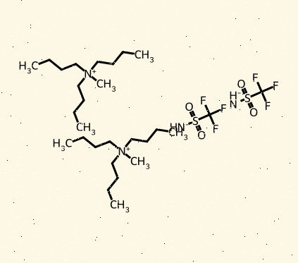 CCCC[N+](C)(CCCC)CCCC.CCCC[N+](C)(CCCC)CCCC.[NH-]S(=O)(=O)C(F)(F)F.[NH-]S(=O)(=O)C(F)(F)F